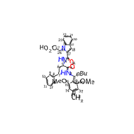 CCCCC(NC(=O)[C@@H](CCc1ccccc1)NC(=O)c1cc2ccccc2n1CC(=O)O)c1c(OC)cc(C)cc1OC